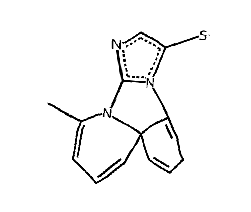 CC1=CC=CC23C=CCC=C2n2c([S])cnc2N13